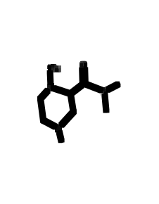 CN1CCN(C(C)(C)C)C(C(=O)N(C)C)C1